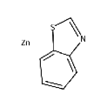 [Zn].c1ccc2scnc2c1